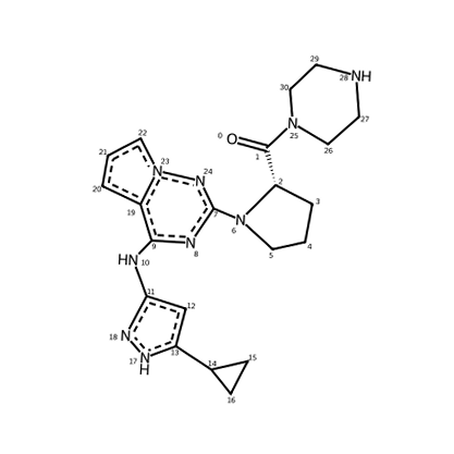 O=C([C@@H]1CCCN1c1nc(Nc2cc(C3CC3)[nH]n2)c2cccn2n1)N1CCNCC1